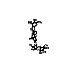 C=CC[C@@]12CC[C@H]3[C@@](C)(CCC[C@@]3(C)C(=O)OC3OC(CO)C(O)C(O)C3O)[C@@H]1CC[C@](C)(OC1OC(CO)C(O)C(O)C1OC1OC(CO)C(O)C(O)C1O)C2